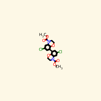 COC(=O)N1CCOc2c(-c3cc(Cl)cc4c3OCCN4C(=O)OC)cc(Cl)cc21